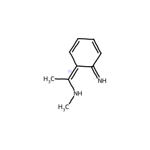 CN/C(C)=C1/C=CC=CC1=N